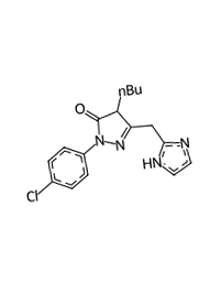 CCCCC1C(=O)N(c2ccc(Cl)cc2)N=C1Cc1ncc[nH]1